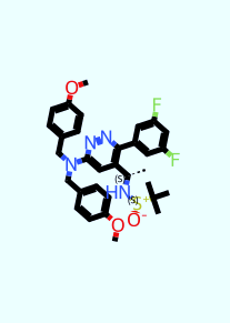 COc1ccc(CN(Cc2ccc(OC)cc2)c2cc([C@H](C)N[S@+]([O-])C(C)(C)C)c(-c3cc(F)cc(F)c3)nn2)cc1